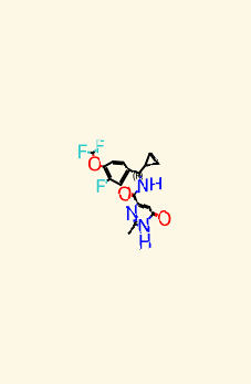 Cc1nc(C(=O)N[C@@H](c2ccc(OC(F)F)c(F)c2)C2CC2)cc(=O)[nH]1